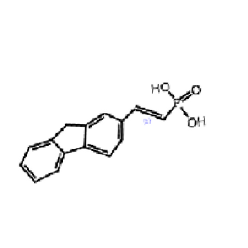 O=P(O)(O)/C=C/c1ccc2c(c1)Cc1ccccc1-2